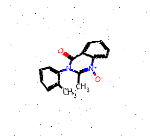 Cc1ccccc1-n1c(C)[n+]([O-])c2ccccc2c1=O